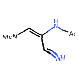 CN/C=C(\C=N)NC(C)=O